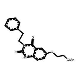 COCCOc1ccc2[nH]c(=O)n(CCc3ccccc3)c(=O)c2c1